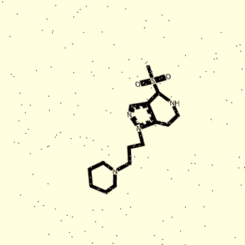 CS(=O)(=O)C1NCCc2c1cnn2CCCN1CCCCC1